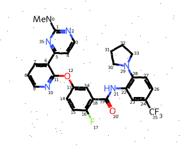 CNc1nccc(-c2cccnc2Oc2ccc(F)c(C(=O)Nc3cc(C(F)(F)F)ccc3N3CCCC3)c2)n1